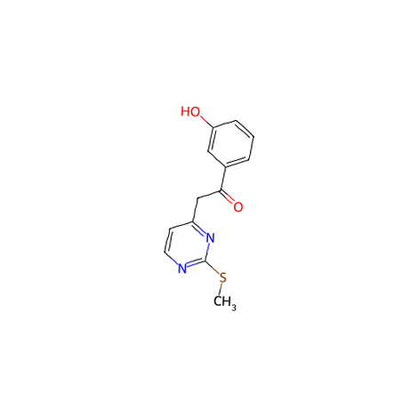 CSc1nccc(CC(=O)c2cccc(O)c2)n1